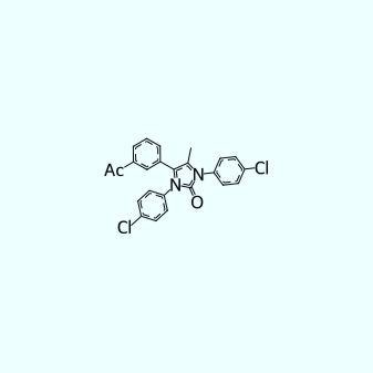 CC(=O)c1cccc(-c2c(C)n(-c3ccc(Cl)cc3)c(=O)n2-c2ccc(Cl)cc2)c1